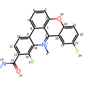 C[n+]1c2c3c(cccc3c3ccc(C(N)=O)c(F)c31)Oc1ccc(F)cc1-2